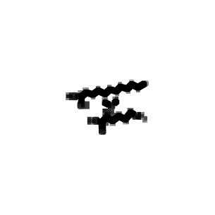 CCCCCCCCCCCC(O)O.COC.NCCCCC(N)C(=O)O